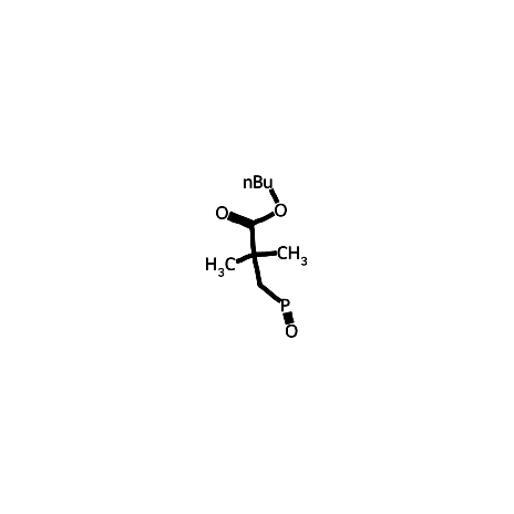 CCCCOC(=O)C(C)(C)CP=O